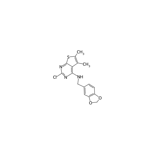 Cc1sc2nc(Cl)nc(NCc3ccc4c(c3)OCO4)c2c1C